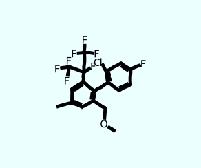 COCc1[c]c(C)cc(C(F)(C(F)(F)F)C(F)(F)F)c1-c1ccc(F)cc1Cl